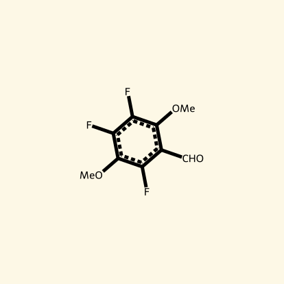 COc1c(F)c(F)c(OC)c(C=O)c1F